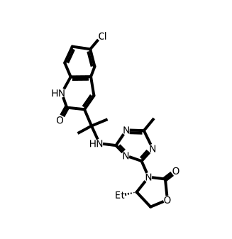 CC[C@H]1COC(=O)N1c1nc(C)nc(NC(C)(C)c2cc3cc(Cl)ccc3[nH]c2=O)n1